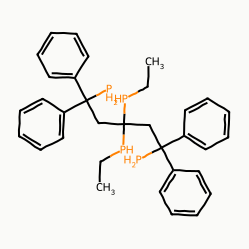 CCPC(CC(P)(c1ccccc1)c1ccccc1)(CC(P)(c1ccccc1)c1ccccc1)PCC